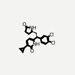 O=C1CC[C@H](C[C@@H](c2ccc(Cl)c(Cl)c2)c2ccc(C3CC3)c(=O)[nH]2)N1